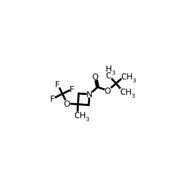 CC(C)(C)OC(=O)N1CC(C)(OC(F)(F)F)C1